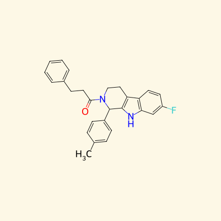 Cc1ccc(C2c3[nH]c4cc(F)ccc4c3CCN2C(=O)CCc2ccccc2)cc1